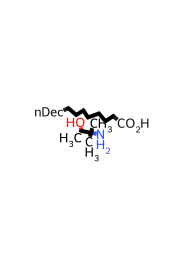 CC(O)C(C)(C)N.CCCCCCCCCCCCCCCCCC(=O)O